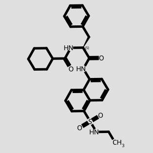 CCNS(=O)(=O)c1cccc2c(NC(=O)[C@H](Cc3ccccc3)NC(=O)C3CCCCC3)cccc12